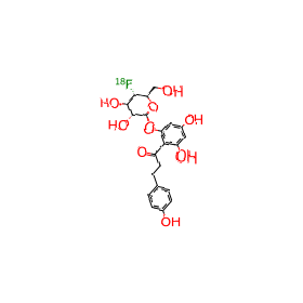 O=C(CCc1ccc(O)cc1)c1c(O)cc(O)cc1O[C@@H]1O[C@H](CO)[C@@H]([18F])[C@H](O)[C@H]1O